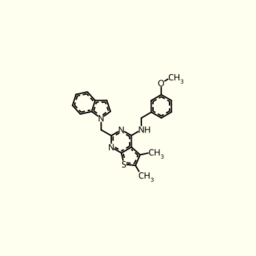 COc1cccc(CNc2nc(Cn3ccc4ccccc43)nc3sc(C)c(C)c23)c1